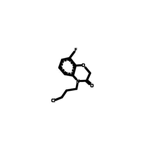 O=C1COc2c(F)cccc2N1CCCCl